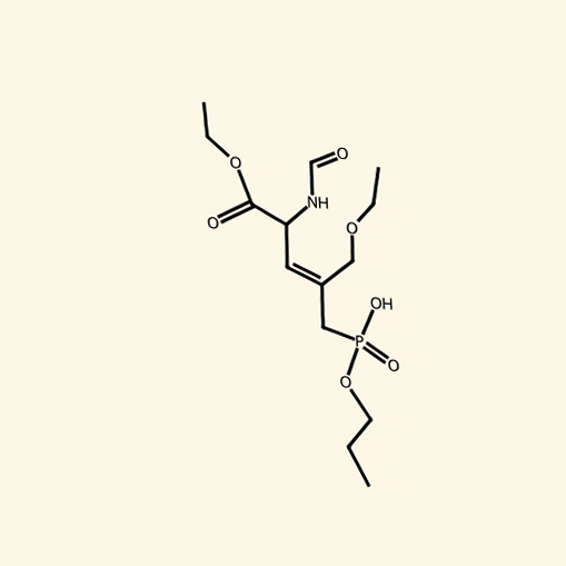 CCCOP(=O)(O)CC(=CC(NC=O)C(=O)OCC)COCC